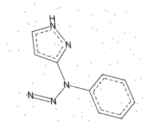 [N]=NN(c1ccccc1)c1cc[nH]n1